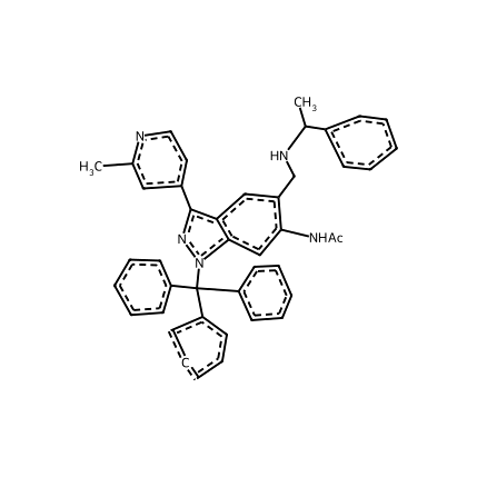 CC(=O)Nc1cc2c(cc1CNC(C)c1ccccc1)c(-c1ccnc(C)c1)nn2C(c1ccccc1)(c1ccccc1)c1ccccc1